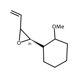 C=CC1O[C@@H]1C1CCCCC1OC